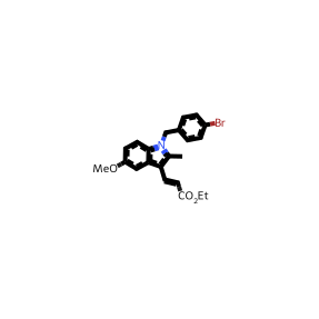 CCOC(=O)C=Cc1c(C)n(Cc2ccc(Br)cc2)c2ccc(OC)cc12